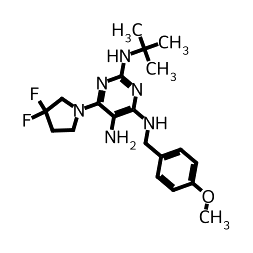 COc1ccc(CNc2nc(NC(C)(C)C)nc(N3CCC(F)(F)C3)c2N)cc1